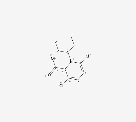 CCN(CC)N1C(Cl)=CC=C(Cl)C1C(=O)O